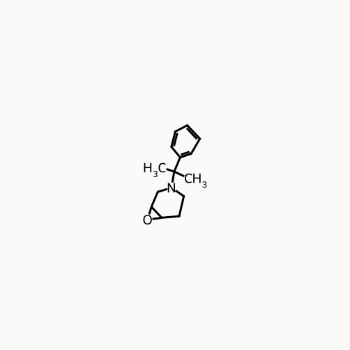 CC(C)(c1ccccc1)N1CCC2OC2C1